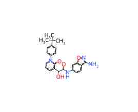 CC(C)(C)c1ccc(-n2cccc(C(O)C(=O)Nc3ccc4c(N)noc4c3)c2=O)cc1